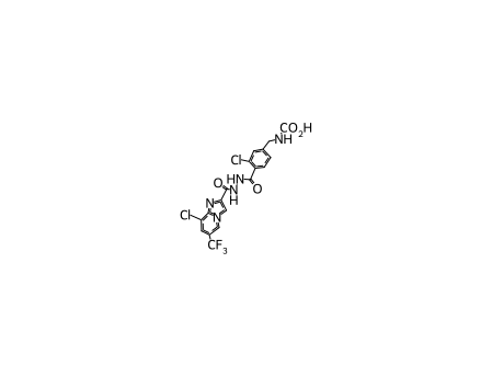 O=C(O)NCc1ccc(C(=O)NNC(=O)c2cn3cc(C(F)(F)F)cc(Cl)c3n2)c(Cl)c1